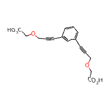 O=C(O)COCC#Cc1cccc(C#CCOCC(=O)O)c1